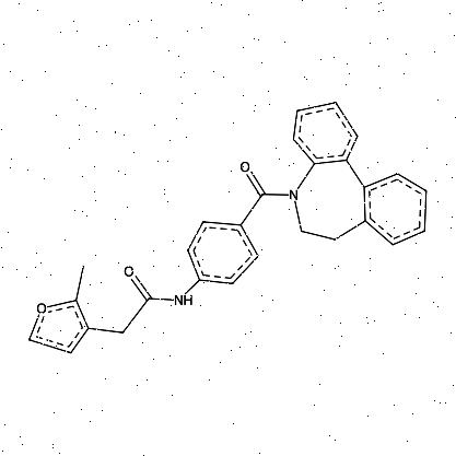 Cc1occc1CC(=O)Nc1ccc(C(=O)N2CCc3ccccc3-c3ccccc32)cc1